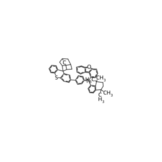 CC1(C)CCC(C)(C)c2c(N(c3ccc(-c4ccc5c(c4)C4(c6ccccc6S5)C5CC6CC7CC4C75C6)cc3)c3cccc4oc5ccccc5c34)cccc21